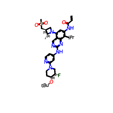 C=CC(=O)Nc1cc(N2C[C@H](CS(C)(=O)=O)[C@H]2C)c2cnc(Nc3ccnc(N4CC[C@@H](OC(C)(C)C)[C@@H](F)C4)c3)nc2c1C(C)C